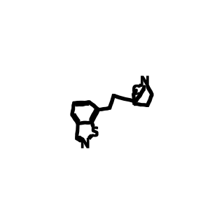 c1cc(CCC2CN3CCC2CC3)c2sncc2c1